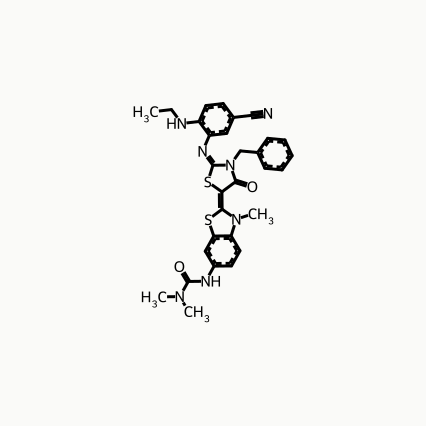 CCNc1ccc(C#N)cc1N=C1S/C(=C2\Sc3cc(NC(=O)N(C)C)ccc3N2C)C(=O)N1Cc1ccccc1